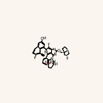 C#Cc1c(F)ccc2cc(O)cc(-c3nc(-c4cccnc4)c4c(N5C[C@H]6CC[C@@H](C5)N6)nc(OC[C@@]56CCCN5C[C@H](F)C6)nc4c3F)c12